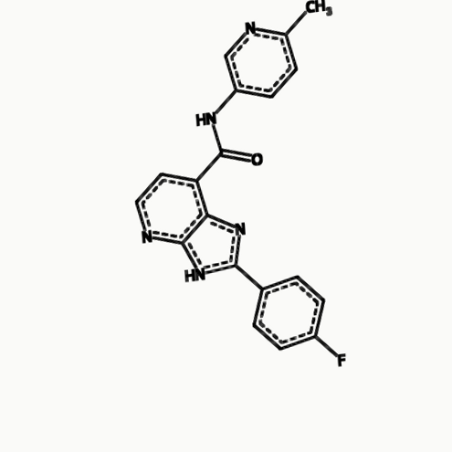 Cc1ccc(NC(=O)c2ccnc3[nH]c(-c4ccc(F)cc4)nc23)cn1